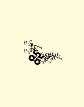 C/C=C/[Si](C)(C)c1cc2c(s1)-c1sc([Si](C)(C)/C=C/[Si](C)(C)C)cc1[Si]2(c1ccccc1)c1ccccc1